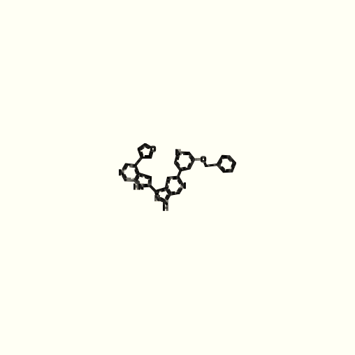 c1ccc(COc2cncc(-c3cc4c(-c5cc6c(-c7ccoc7)cncc6[nH]5)n[nH]c4cn3)c2)cc1